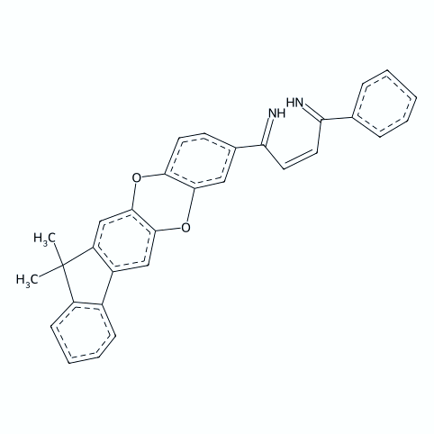 CC1(C)c2ccccc2-c2cc3c(cc21)Oc1ccc(C(=N)/C=C\C(=N)c2ccccc2)cc1O3